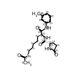 CC(=O)SCCCCC[C@H](NC(=O)[C@@H]1CCC(=O)N1)C(=O)Nc1cccc(C)c1